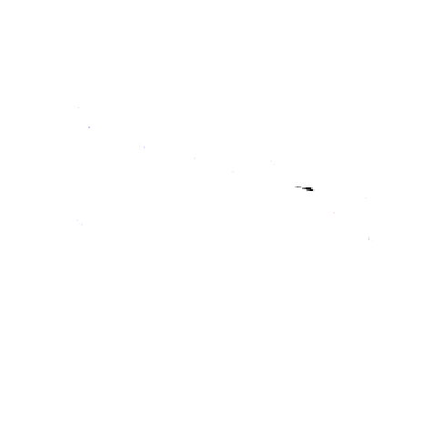 CCc1c(F)ccc2cc(O)cc(CC3N=Cc4c3cc(OCC35CCCN3[C@@H](COC(=O)N(C)C)CC5)nc4N3CC4CCC(C3)N4)c12